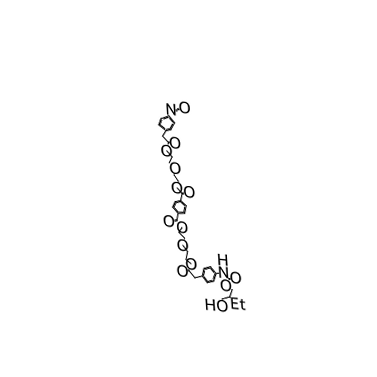 CCC(CO)COC(=O)Nc1ccc(CC(=O)OCCOCCOC(=O)c2ccc(C(=O)OCCOCCOC(=O)Cc3ccc(N=C=O)cc3)cc2)cc1